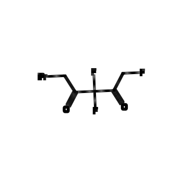 CC(C)CC(=O)C(F)(F)C(=O)CF